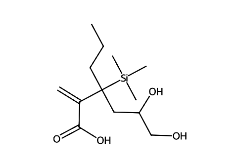 C=C(C(=O)O)C(CCC)(CC(O)CO)[Si](C)(C)C